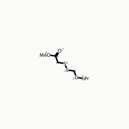 CCCOCSSCC(=O)OC